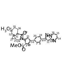 COC(=O)c1sc(-c2ccc(-c3cc4ncccn4n3)cc2)cc1N(CC1CC1)C(=O)[C@H]1CC[C@H](C)CC1